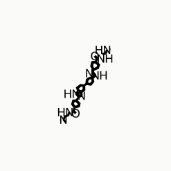 CNCCNC(=O)c1ccc(-c2nc3cc(-c4ccc5[nH]c(-c6ccc(C(=O)NCCN(C)C)cc6)nc5c4)ccc3[nH]2)cc1